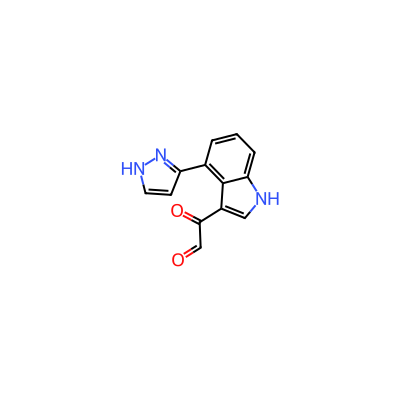 O=CC(=O)c1c[nH]c2cccc(-c3cc[nH]n3)c12